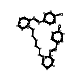 Clc1ccc(/N=N/c2cccc[n+]2CCCCCC[n+]2ccccc2/N=N/c2ccc(Cl)cc2)cc1